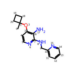 CC1(Oc2ccnc(NCc3ccccn3)c2N)CCC1